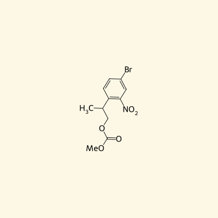 COC(=O)OCC(C)c1ccc(Br)cc1[N+](=O)[O-]